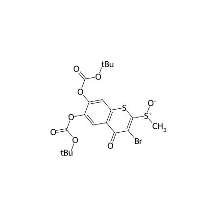 C[S+]([O-])c1sc2cc(OC(=O)OC(C)(C)C)c(OC(=O)OC(C)(C)C)cc2c(=O)c1Br